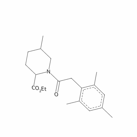 CCOC(=O)C1CCC(C)CN1C(=O)Cc1c(C)cc(C)cc1C